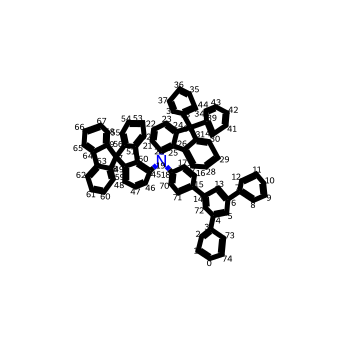 c1ccc(-c2cc(-c3ccccc3)cc(-c3ccc(N(c4cccc5c4-c4ccccc4C5(c4ccccc4)c4ccccc4)c4cccc5c4-c4ccccc4C54c5ccccc5-c5ccccc54)cc3)c2)cc1